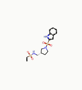 C=CS(=O)(=O)NC[C@H]1CCN(S(=O)(=O)c2cc3ccccc3[nH]2)C1